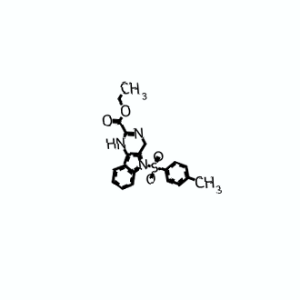 CCOC(=O)C1=NCc2c(c3ccccc3n2S(=O)(=O)c2ccc(C)cc2)N1